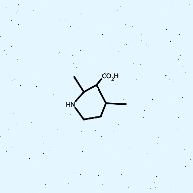 CC1CCNC(C)C1C(=O)O